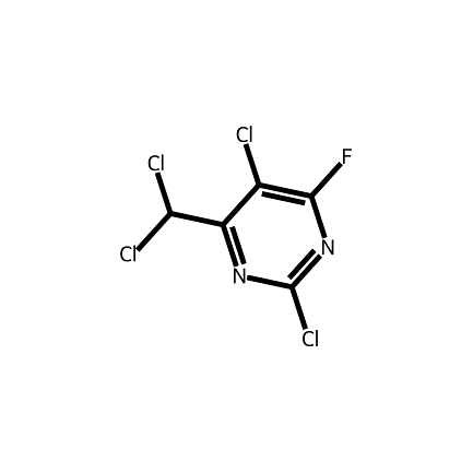 Fc1nc(Cl)nc(C(Cl)Cl)c1Cl